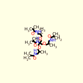 C=C(C)C(=O)NCC(C)COCC(COCC(C)CNC(=O)C(=C)C)(COCC(C)CNC(=O)C(=C)C)NC(=O)C(=C)C